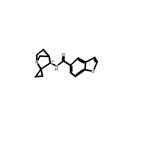 O=C(N[C@@H]1C2CCN(C2)C12CC2)c1ccc2occc2c1